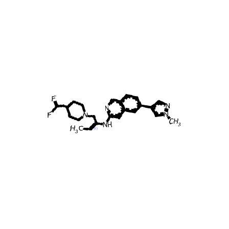 C/C=C(\CN1CCC(C(F)F)CC1)Nc1cc2cc(-c3cnn(C)c3)ccc2cn1